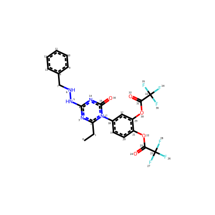 CCc1nc(NNCc2ccccc2)nc(=O)n1-c1ccc(OC(=O)C(F)(F)F)c(OC(=O)C(F)(F)F)c1